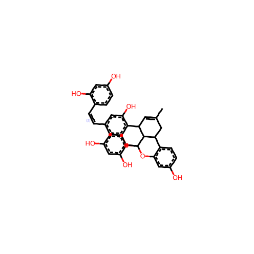 CC1=CC2c3c(O)cc(/C=C\c4ccc(O)cc4O)cc3OC3(c4ccc(O)cc4O)Oc4cc(O)ccc4C(C1)C23